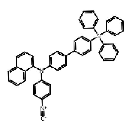 [C-]#[N+]c1ccc(N(c2ccc(-c3ccc([Si](c4ccccc4)(c4ccccc4)c4ccccc4)cc3)cc2)c2cccc3ccccc23)cc1